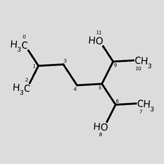 CC(C)CCC(C(C)O)C(C)O